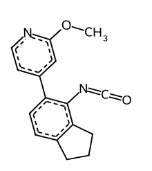 COc1cc(-c2ccc3c(c2N=C=O)CCC3)ccn1